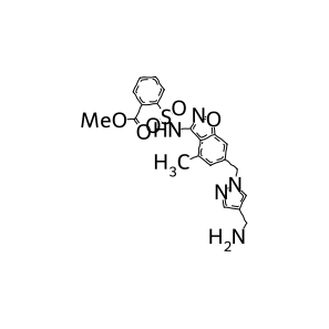 COC(=O)c1ccccc1S(=O)(=O)Nc1noc2cc(Cn3cc(CN)cn3)cc(C)c12